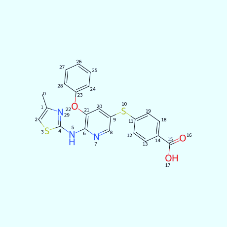 Cc1csc(Nc2ncc(Sc3ccc(C(=O)O)cc3)cc2Oc2ccccc2)n1